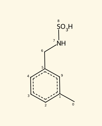 Cc1cccc(CNS(=O)(=O)O)c1